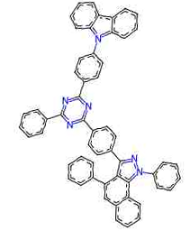 c1ccc(-c2nc(-c3ccc(-c4nn(-c5ccccc5)c5c4c(-c4ccccc4)cc4ccccc45)cc3)nc(-c3ccc(-n4c5ccccc5c5ccccc54)cc3)n2)cc1